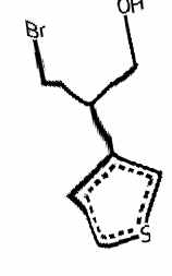 OCC(CBr)c1ccsc1